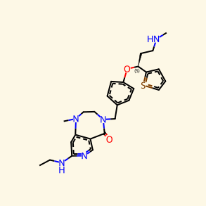 CCNc1cc2c(cn1)C(=O)N(Cc1ccc(O[C@@H](CCNC)c3cccs3)cc1)CCN2C